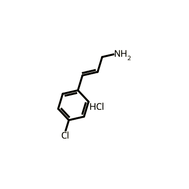 Cl.NCC=Cc1ccc(Cl)cc1